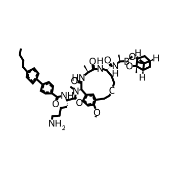 CCCCc1ccc(-c2ccc(C(=O)N[C@@H](CCCCN)C(=O)N(C)[C@@H]3C(=O)N[C@@H](C)C(=O)N[C@H](C(=O)N[C@@H](C)B4O[C@@H]5C[C@@H]6C[C@@H](C6(C)C)[C@]5(C)O4)CCCCCc4cc3ccc4OC)cc2)cc1